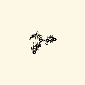 CCCCC(=O)N[C@@H](C)C(=O)N[C@@H](C)C(=O)Nc1cc(COc2cc3c(cc2OC)C(=O)N2c4ccccc4C[C@H]2C=N3)cc(COc2cc3c(cc2OC)C(=O)N2c4ccccc4C[C@H]2CN3)c1